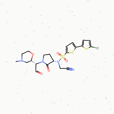 CN1CCOC([C@@H](C=O)N2CC[C@H](N(CC#N)S(=O)(=O)c3ccc(-c4ccc(Cl)s4)s3)C2=O)C1